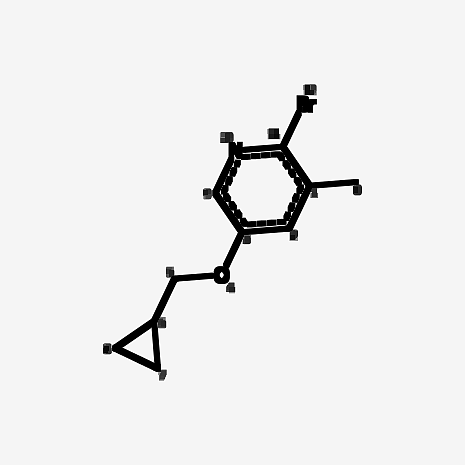 Cc1cc(OCC2CC2)cnc1Br